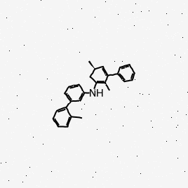 CC1=C(Nc2cccc(-c3ccccc3C)c2)C[C@@H](C)C=C1c1ccccc1